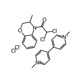 CC1COc2ccccc2N1C(=O)C(Cl)Cl.C[n+]1ccc(-c2cc[n+](C)cc2)cc1.[Cl-].[Cl-]